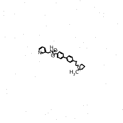 C[C@@H]1CCCN1CCc1ccc(-c2ccc(S(=O)(=O)NCc3cccnc3)cc2)cc1